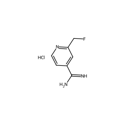 Cl.N=C(N)c1ccnc(CF)c1